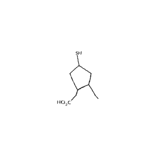 CC1CC(S)CC1C(=O)O